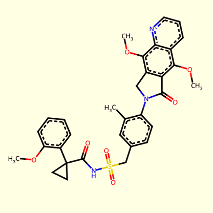 COc1ccccc1C1(C(=O)NS(=O)(=O)Cc2ccc(N3Cc4c(c(OC)c5cccnc5c4OC)C3=O)c(C)c2)CC1